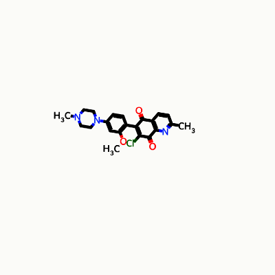 COc1cc(N2CCN(C)CC2)ccc1C1=C(Cl)C(=O)c2nc(C)ccc2C1=O